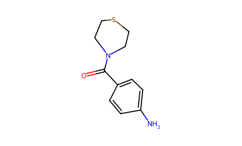 Nc1ccc(C(=O)N2CCSCC2)cc1